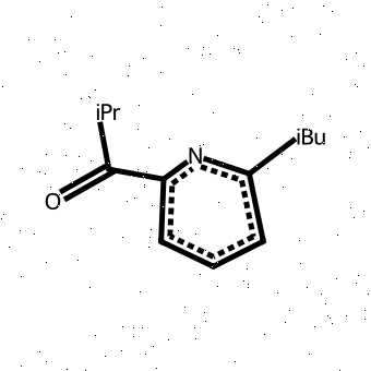 CCC(C)c1cccc(C(=O)C(C)C)n1